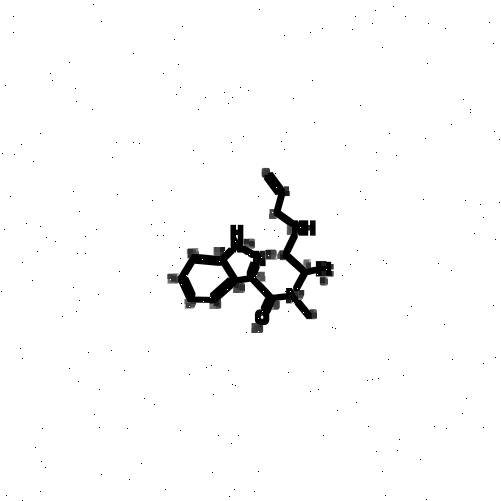 C=CCNCC(CC)N(C)C(=O)c1n[nH]c2ccccc12